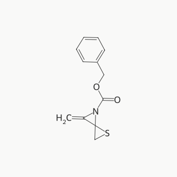 C=C1N(C(=O)OCc2ccccc2)C12CS2